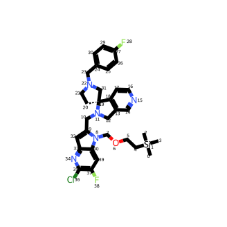 C[Si](C)(C)CCOCn1c(CN2Cc3cnccc3[C@@]23CCN(Cc2ccc(F)cc2)C3)cc2nc(Cl)c(F)cc21